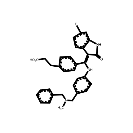 CN(Cc1ccccc1)Cc1ccc(N/C(=C2\C(=O)Nc3cc(F)ccc32)c2ccc(CCC(=O)O)cc2)cc1